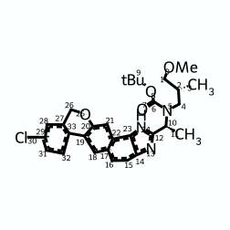 COC[C@H](C)CN(C(=O)OC(C)(C)C)[C@@H](C)c1nc2ccc3cc4c(cc3c2[nH]1)OCc1cc(Cl)ccc1-4